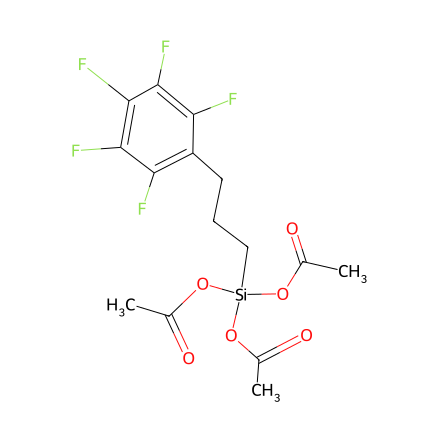 CC(=O)O[Si](CCCc1c(F)c(F)c(F)c(F)c1F)(OC(C)=O)OC(C)=O